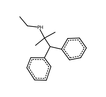 CCPC(C)(C)C(c1ccccc1)c1ccccc1